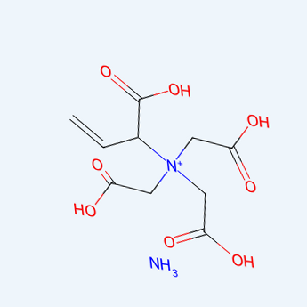 C=CC(C(=O)O)[N+](CC(=O)O)(CC(=O)O)CC(=O)O.N